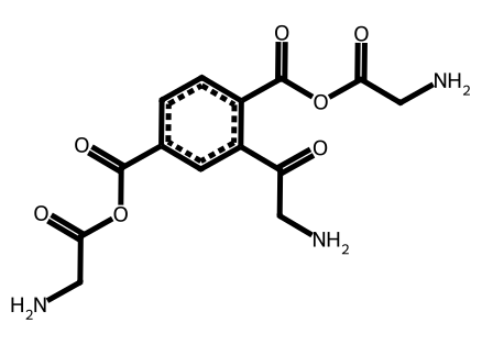 NCC(=O)OC(=O)c1ccc(C(=O)OC(=O)CN)c(C(=O)CN)c1